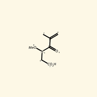 C=C(C)C(=O)N(CC(=O)O)OC